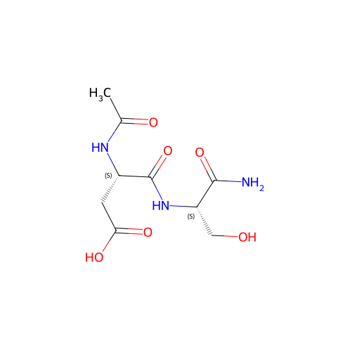 CC(=O)N[C@@H](CC(=O)O)C(=O)N[C@@H](CO)C(N)=O